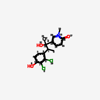 CC(c1ccc(O)c(Cl)c1Cl)C(O)(c1ccc(=O)n(C)c1)C(F)(F)F